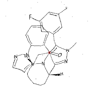 Cn1nc2c(c1-c1cc(F)cc(F)c1)C[C@H]1CCC[C@@H]2N1C(=O)c1ccccc1-n1nccn1